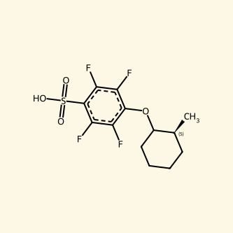 C[C@H]1CCCCC1Oc1c(F)c(F)c(S(=O)(=O)O)c(F)c1F